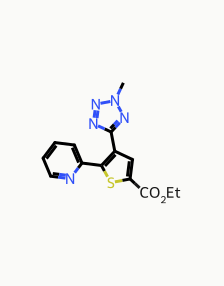 CCOC(=O)c1cc(-c2nnn(C)n2)c(-c2ccccn2)s1